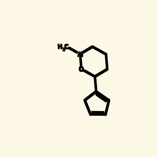 [CH3][Al]1[CH2]CCC(C2=CC=CC2)[O]1